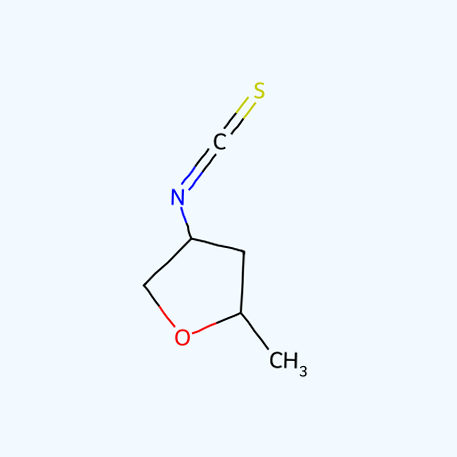 CC1CC(N=C=S)CO1